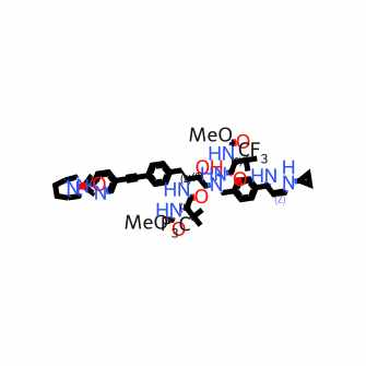 COC(=O)N[C@H](C(=O)N[C@@H](Cc1ccc(C#Cc2ccc(N3CC4CCC(C3)N4C3COC3)nc2)cc1)[C@@H](O)CN(Cc1ccc(C(=N)/C=C\NC2CC2)cc1)NC(=O)[C@@H](NC(=O)OC)C(C)(C)C(F)(F)F)C(C)(C)C(F)(F)F